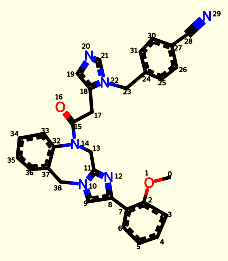 COc1ccccc1-c1cn2c(n1)CN(C(=O)Cc1cncn1Cc1ccc(C#N)cc1)c1ccccc1C2